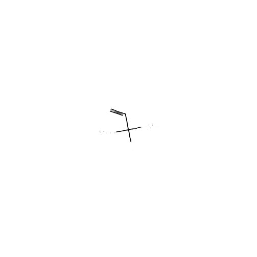 C=CC([SiH3])(OC)OC